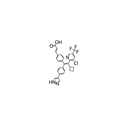 O=C(O)C=Cc1ccc(C(=C(c2ncc(C(F)(F)F)cc2Cl)C2CCC2)c2ccc(-c3cn[nH]c3)cc2)cc1